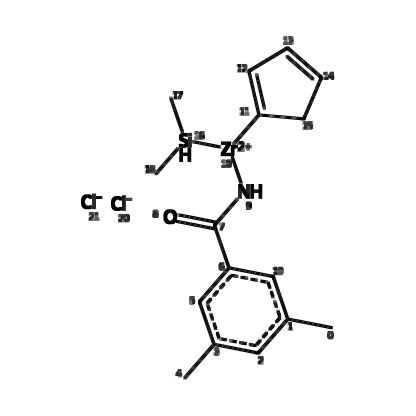 Cc1cc(C)cc(C(=O)[NH][Zr+2]([C]2=CC=CC2)[SiH](C)C)c1.[Cl-].[Cl-]